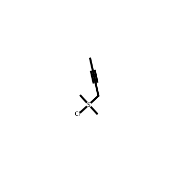 CC#CCS(C)(C)Cl